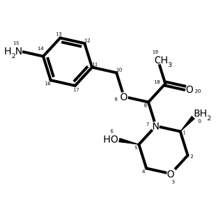 B[C@H]1COC[C@@H](O)N1C(OCc1ccc(N)cc1)C(C)=O